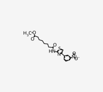 COC(=O)CCCCCCC(=O)Nc1nc(-c2cccc([N+](=O)[O-])c2)cs1